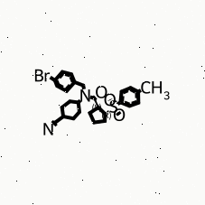 Cc1ccc(S(=O)(=O)[C@@H]2CCC[C@H]2C(=O)N(Cc2ccc(Br)cc2)C2CCC(C#N)CC2)cc1